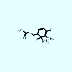 CCCC(=O)OCC1C=CC(F)=C(C)C1(N)F